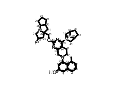 Cc1cccc2cc(O)cc(N3CCc4c(nc(OCC56CC(F)CN5C5CCCC5C6)nc4N4CC5CCC(C4)N5)C3)c12